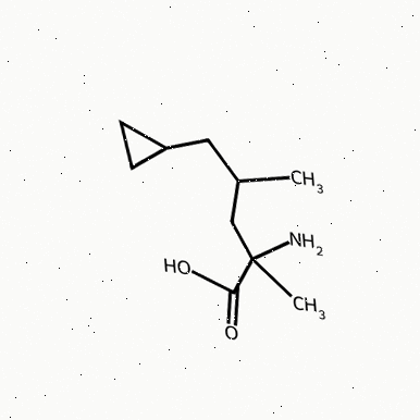 CC(CC1CC1)CC(C)(N)C(=O)O